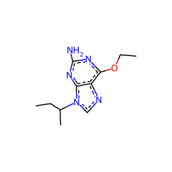 CCOc1nc(N)nc2c1ncn2C(C)CC